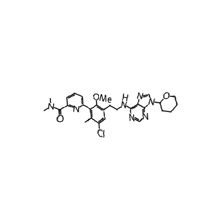 COc1c(CCNc2ncnc3c2ncn3C2CCCCO2)cc(Cl)c(C)c1-c1cccc(C(=O)N(C)C)n1